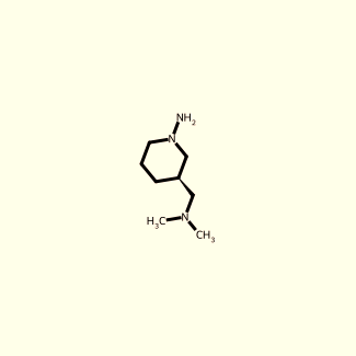 CN(C)C[C@H]1CCCN(N)C1